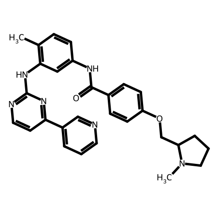 Cc1ccc(NC(=O)c2ccc(OCC3CCCN3C)cc2)cc1Nc1nccc(-c2cccnc2)n1